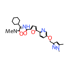 CNC(=O)[C@@H](NC(=O)c1ccc(-c2ccc(OCc3cc(C)n(C)n3)cn2)o1)C1CCCCC1